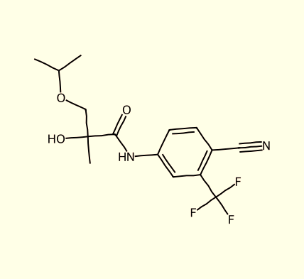 CC(C)OCC(C)(O)C(=O)Nc1ccc(C#N)c(C(F)(F)F)c1